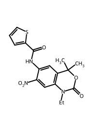 CCN1C(=O)OC(C)(C)c2cc(NC(=O)c3cccs3)c([N+](=O)[O-])cc21